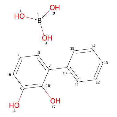 OB(O)O.Oc1cccc(-c2ccccc2)c1O